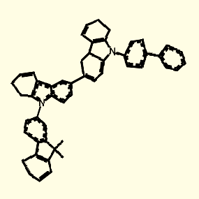 CC1(C)C2=C(CCC=C2)c2ccc(-n3c4c(c5cc(C6=CC=C7C(C6)C6=C(CCC=C6)N7c6ccc(-c7ccccc7)cc6)ccc53)C=CCC4)cc21